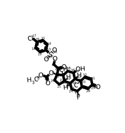 COC(=O)O[C@]1(C(=O)COS(=O)(=O)c2ccc(Cl)cc2)CC[C@H]2[C@@H]3C[C@H](F)C4=CC(=O)C=C[C@]4(C)[C@H]3C(O)C[C@@]21C